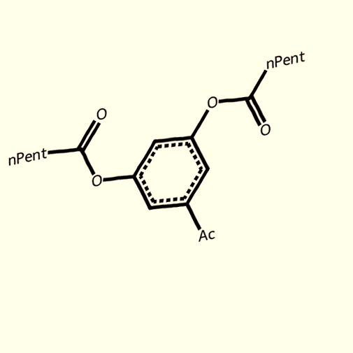 CCCCCC(=O)Oc1cc(OC(=O)CCCCC)cc(C(C)=O)c1